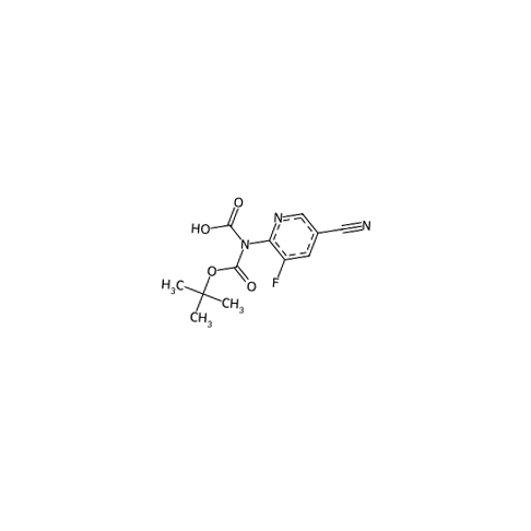 CC(C)(C)OC(=O)N(C(=O)O)c1ncc(C#N)cc1F